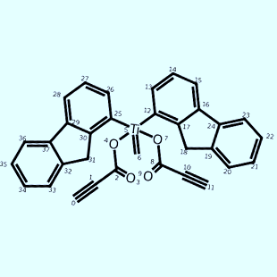 C#CC(=O)[O][Ti](=[CH2])([O]C(=O)C#C)([c]1cccc2c1Cc1ccccc1-2)[c]1cccc2c1Cc1ccccc1-2